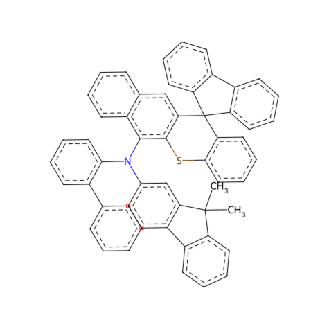 CC1(C)c2ccccc2-c2ccc(N(c3ccccc3-c3ccccc3)c3c4c(cc5ccccc35)C3(c5ccccc5S4)c4ccccc4-c4ccccc43)cc21